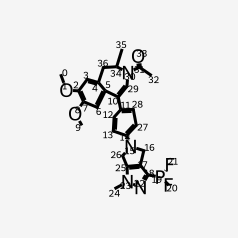 COc1cc2c(cc1OC)C(c1ccc(N3Cc4c(P(F)F)nn(C)c4C3)cc1)=CN(C(C)=O)C(C)C2